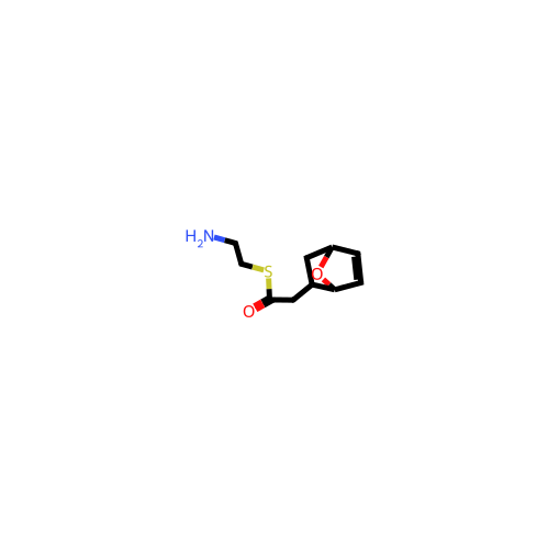 NCCSC(=O)CC1CC2C=CC1O2